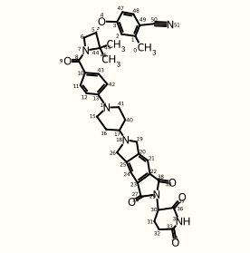 Cc1cc(O[C@H]2CN(C(=O)c3ccc(N4CCC(N5Cc6cc7c(cc6C5)C(=O)N(C5CCC(=O)NC5=O)C7=O)CC4)cc3)C2(C)C)ccc1C#N